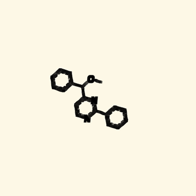 COC(c1ccccc1)c1ccnc(-c2ccccc2)n1